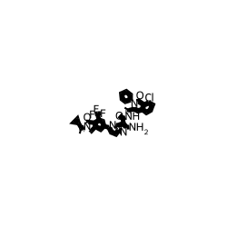 C[C@H](NC(=O)c1c(N)nn2ccc(-c3cc4c(c(C(F)(F)F)c3)C(=O)N([C@@H](C)C3CC3)C4)nc12)c1cc2cccc(Cl)c2c(=O)n1-c1ccccc1